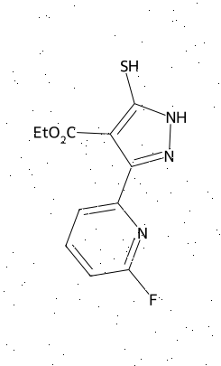 CCOC(=O)c1c(-c2cccc(F)n2)n[nH]c1S